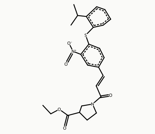 CCOC(=O)C1CCN(C(=O)/C=C/c2ccc(Sc3ccccc3C(C)C)c([N+](=O)[O-])c2)C1